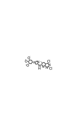 COc1cc(-n2cnc(Nc3nc4nc(Cl)nc(Cl)c4cc3C)c2)cc(OC)c1OC